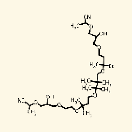 CCC(C)(CCOCC(O)COC(C)C#N)OCC(C)(C)C(C)(C)OCCC(C)(C)OCCOCC(O)COC(C)C#N